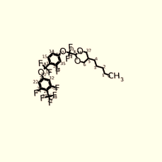 CCCCCC1COC(C(F)(F)Oc2ccc(C(F)(F)Oc3cc(F)c(C(F)(F)F)c(F)c3)c(F)c2)OC1